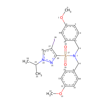 COc1ccc(CN(Cc2ccc(OC)cc2)S(=O)(=O)c2nn(C(C)C)cc2I)cc1